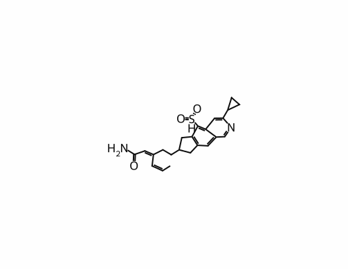 C/C=C\C(=C/C(N)=O)CCC1Cc2cc3cnc(C4CC4)cc3c([SH](=O)=O)c2C1